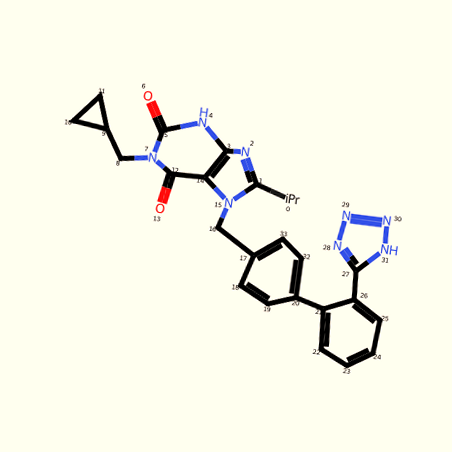 CC(C)c1nc2[nH]c(=O)n(CC3CC3)c(=O)c2n1Cc1ccc(-c2ccccc2-c2nnn[nH]2)cc1